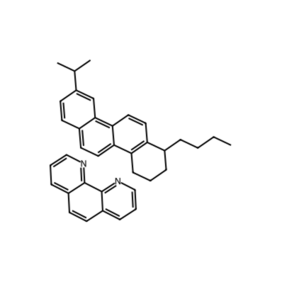 CCCCC1CCCc2c1ccc1c2ccc2ccc(C(C)C)cc21.c1cnc2c(c1)ccc1cccnc12